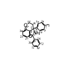 Cc1ccc([C@@]2(NC(=O)c3ccccc3)CCOc3ccccc32)cc1